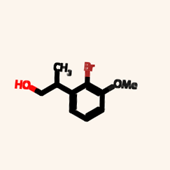 COc1cccc([C](C)CO)c1Br